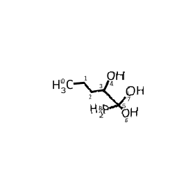 CCCC(O)C(O)(O)P